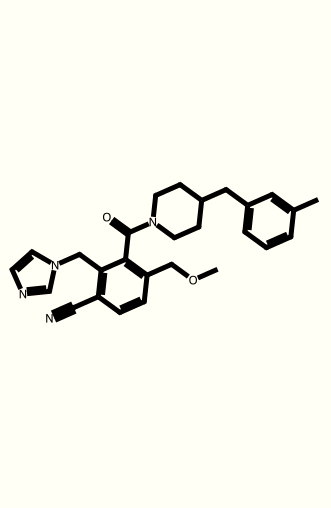 COCc1ccc(C#N)c(Cn2ccnc2)c1C(=O)N1CCC(Cc2cccc(C)c2)CC1